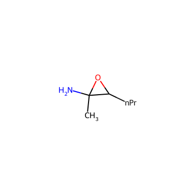 CCCC1OC1(C)N